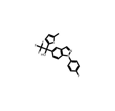 Cc1ccc(C(O)(c2ccc3c(cnn3-c3ccc(F)cc3)c2)C(F)(F)F)s1